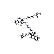 CC1(C)C(/C=C/C=C/C=C/C=C2/N(CCCCCCCC(=O)O)c3ccc4ccccc4c3C2(C)C)=[N+](CCCCS(=O)(=O)[O-])c2ccc3ccccc3c21